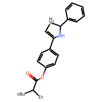 CCCCC(CC)C(=O)Oc1ccc(C2=C[SiH2]C(c3ccccc3)N2)cc1